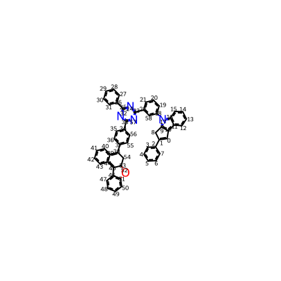 C1=C(c2ccccc2)Cc2c1c1ccccc1n2-c1cccc(-c2nc(-c3ccccc3)nc(-c3ccc(C4=c5ccccc5=C5c6ccccc6OC5C4)cc3)n2)c1